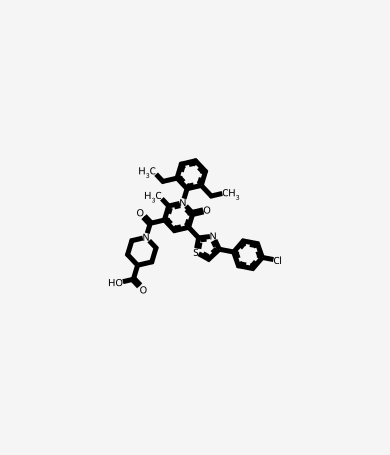 CCc1cccc(CC)c1-n1c(C)c(C(=O)N2CCC(C(=O)O)CC2)cc(-c2nc(-c3ccc(Cl)cc3)cs2)c1=O